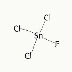 [F][Sn]([Cl])([Cl])[Cl]